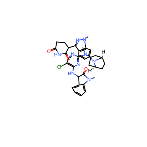 CN1C(=O)C(Nc2nc(N(C)C3C[C@H]4CC[C@@H](C3)N4c3ccc4c(C5CCC(=O)NC5=O)nn(C)c4c3)ncc2Cl)c2ccccc21